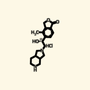 Cc1c([C@@H](O)CN2CC3CCNCC3C2)ccc2c1COC2=O.Cl